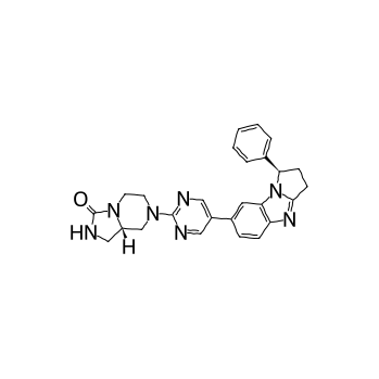 O=C1NC[C@H]2CN(c3ncc(-c4ccc5nc6n(c5c4)[C@@H](c4ccccc4)CC6)cn3)CCN12